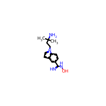 CC(C)(N)CCn1ccc2cc(C(=N)NO)ccc21